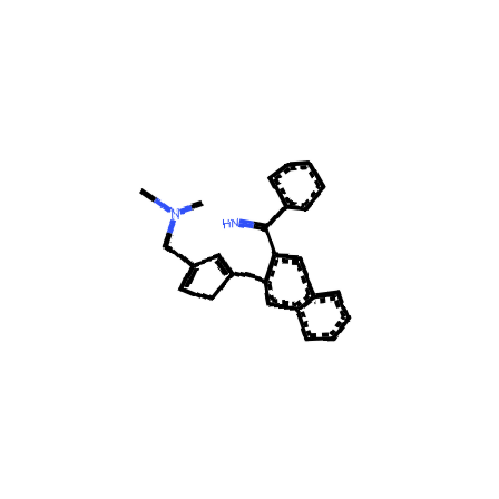 CN(C)CC1=CCC(c2cc3ccccc3cc2C(=N)c2ccccc2)=C1